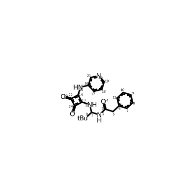 CC(C)(C)C(NC(=O)Cc1ccccc1)Nc1c(Nc2cccnc2)c(=O)c1=O